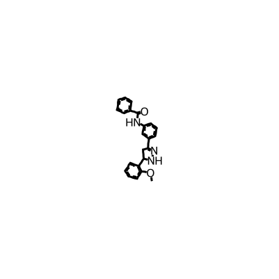 COc1ccccc1C1CC(c2cccc(NC(=O)c3ccccc3)c2)=NN1